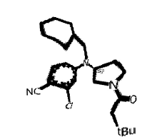 CC(C)(C)CC(=O)N1CC[C@H](N(CC2CCCCC2)c2ccc(C#N)c(Cl)c2)C1